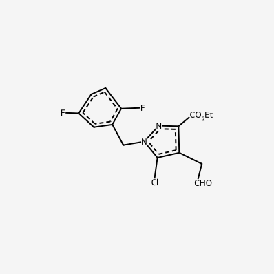 CCOC(=O)c1nn(Cc2cc(F)ccc2F)c(Cl)c1CC=O